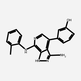 Cc1ccccc1Nc1ncc(-c2cccc(O)c2)c2c(N)n[nH]c12